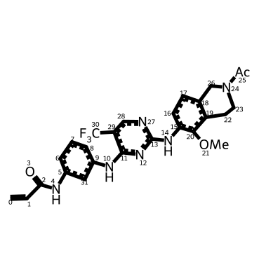 C=CC(=O)Nc1cccc(Nc2nc(Nc3ccc4c(c3OC)CCN(C(C)=O)C4)ncc2C(F)(F)F)c1